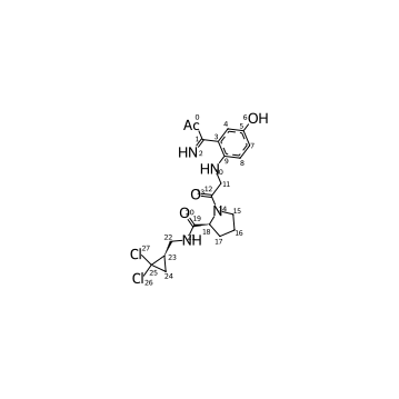 CC(=O)C(=N)c1cc(O)ccc1NCC(=O)N1CCC[C@H]1C(=O)NC[C@H]1CC1(Cl)Cl